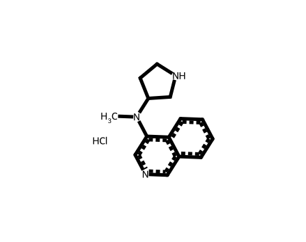 CN(c1cncc2ccccc12)C1CCNC1.Cl